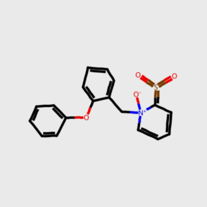 O=S(=O)=C1C=CC=C[N+]1([O-])Cc1ccccc1Oc1ccccc1